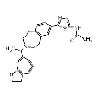 CC(=O)Nc1nnc(-c2ccc3c(c2)CCN([C@H](C)C2=CC4=C(C=C=C2)CCO4)CC3)s1